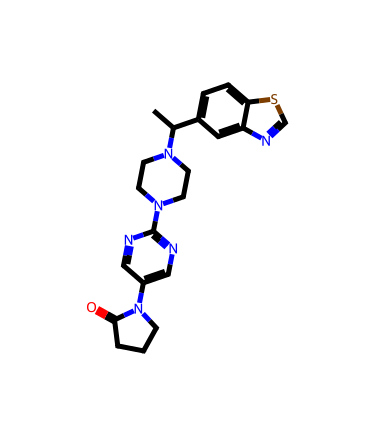 CC(c1ccc2scnc2c1)N1CCN(c2ncc(N3CCCC3=O)cn2)CC1